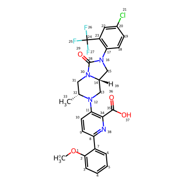 COc1ccccc1-c1ccc(N2C[C@H]3CN(c4ccc(Cl)cc4C(F)(F)F)C(=O)N3C[C@H]2C)c(C(=O)O)n1